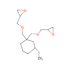 CSC1CCCC(COCC2CO2)(COCC2CO2)C1